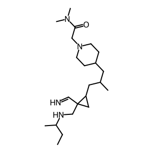 CCC(C)NCC1(C=N)CC1CC(C)CC1CCN(CC(=O)N(C)C)CC1